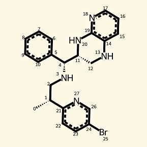 C[C@H](CN[C@H](c1ccccc1)[C@H]1CNc2cccnc2N1)c1ccc(Br)cn1